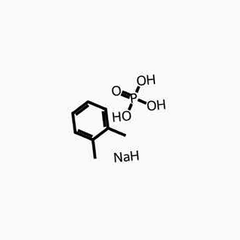 Cc1ccccc1C.O=P(O)(O)O.[NaH]